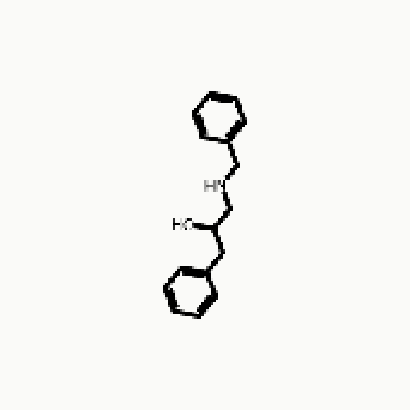 OC(CNCc1ccccc1)Cc1ccccc1